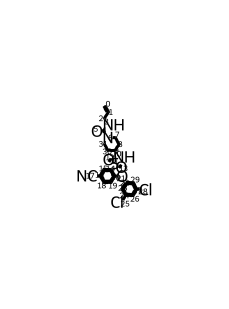 C=CCNC(=O)N1CCC(NS(=O)(=O)c2cc(C#N)ccc2Oc2cc(Cl)cc(Cl)c2)CC1